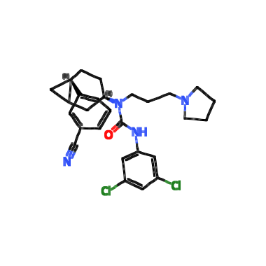 N#Cc1cccc([C@@]23CC[C@@H](N(CCCN4CCCC4)C(=O)Nc4cc(Cl)cc(Cl)c4)CC2C3)c1